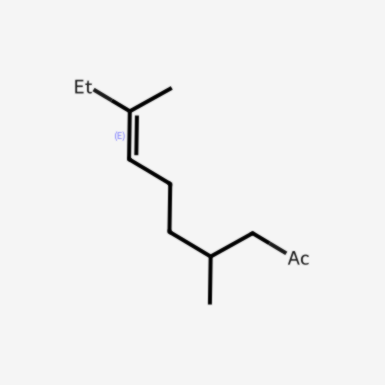 CC/C(C)=C/CCC(C)CC(C)=O